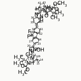 C=C([C@@H](NC(=O)OC)C(C)C)N1CC2(CC2)C[C@H]1c1ncc(-c2ccc3c(c2)C(F)(F)c2cc(-c4ccc5nc([C@@H]6[C@H]7CC[C@H](C7)N6C(=O)[C@@H](NC(=O)OC)C(C)C)[nH]c5c4)ccc2-3)n1O